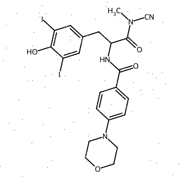 CN(C#N)C(=O)C(Cc1cc(I)c(O)c(I)c1)NC(=O)c1ccc(N2CCOCC2)cc1